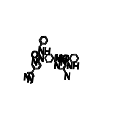 Cn1cc(-c2ccc(N(C(=O)NCc3ccccc3)[C@H]3CC[C@H](Nc4ncc(C#N)c(NC5CCCCC5O)n4)CC3)nc2)cn1